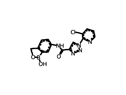 O=C(Nc1ccc2c(c1)B(O)OC2)c1cn(-c2ncccc2Cl)nn1